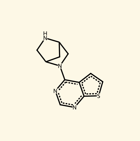 c1nc(N2CC3CC2CN3)c2ccsc2n1